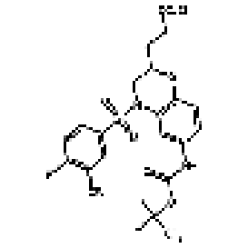 CCOC(=O)CC[C@@H]1CN(S(=O)(=O)c2ccc(F)c(C(F)(F)F)c2)c2cc(NC(=O)OC(C)(C)C(F)(F)F)ccc2O1